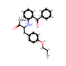 COC(=O)C(Cc1ccc(OCCBr)cc1)Nc1ccccc1C(=O)c1ccccc1